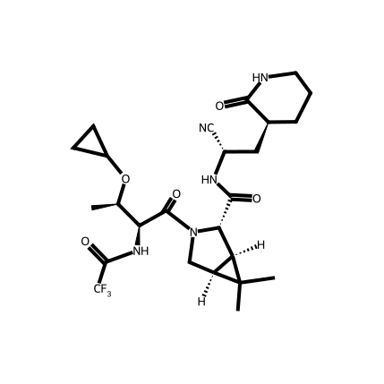 C[C@@H](OC1CC1)[C@H](NC(=O)C(F)(F)F)C(=O)N1C[C@H]2[C@@H]([C@H]1C(=O)N[C@H](C#N)C[C@@H]1CCCNC1=O)C2(C)C